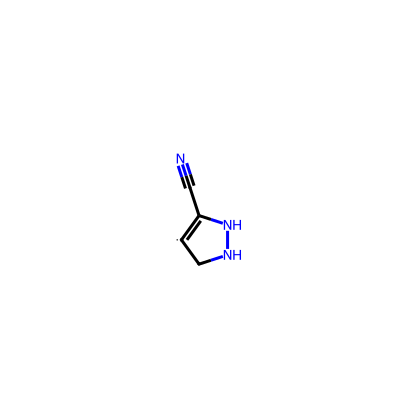 N#CC1=[C]CNN1